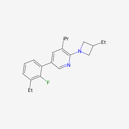 CCc1cccc(-c2cnc(N3CC(CC)C3)c(C(C)C)c2)c1F